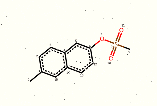 Cc1ccc2cc(OS(C)(=O)=O)ccc2c1